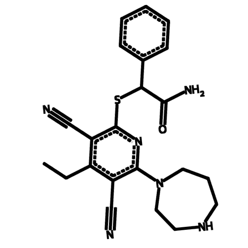 CCc1c(C#N)c(SC(C(N)=O)c2ccccc2)nc(N2CCCNCC2)c1C#N